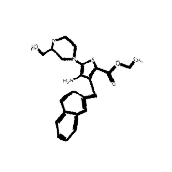 CCOC(=O)c1sc(N2CCOC(CO)C2)c(N)c1Cc1ccc2ccccc2c1